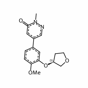 COc1ccc(-c2cnn(C)c(=O)c2)cc1O[C@H]1CCOC1